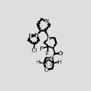 O=C(C1CCN(c2cnccc2-n2cc(Cl)cn2)CC1(F)F)N1C[C@@H]2C[C@H]1CO2